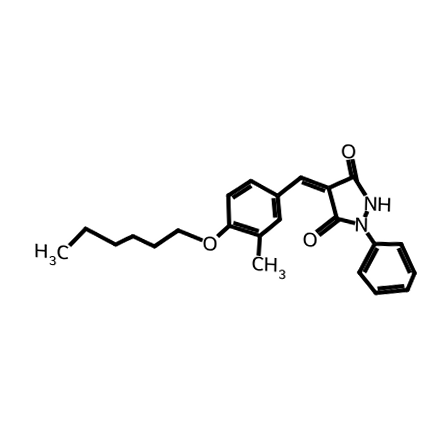 CCCCCCOc1ccc(C=C2C(=O)NN(c3ccccc3)C2=O)cc1C